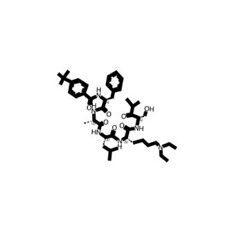 CCN(CC)CCCC[C@H](NC(=O)[C@H](CC(C)C)NC(=O)[C@H](C)NC(=O)[C@H](Cc1ccccc1)NC(=O)c1ccc(C(C)(C)C)cc1)C(=O)N[C@@H](CO)C(=O)C(C)C